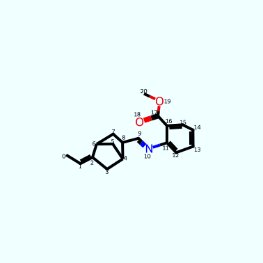 CC=C1CC2CC1CC2C=Nc1ccccc1C(=O)OC